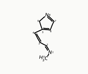 C/N=C\C=C/C1=CC=NC1